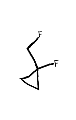 FCC1(F)CC1